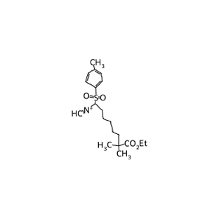 C#[N+]C(CCCCCC(C)(C)C(=O)OCC)S(=O)(=O)c1ccc(C)cc1